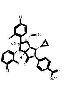 COC(=O)c1ccc(N2C(=O)[C@H]3[C@H](c4cccc(Cl)c4F)[C@@](C#N)(c4ccc(Cl)cc4F)[C@H](CC(C)(C)C)N3[C@@H]2C2CC2)cc1